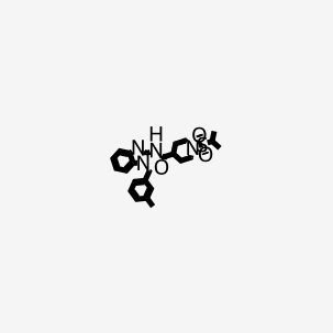 Cc1cccc(Cn2c(NC(=O)C3CCN(S(=O)(=O)C(C)C)CC3)nc3ccccc32)c1